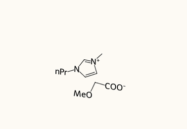 CCCn1cc[n+](C)c1.COCC(=O)[O-]